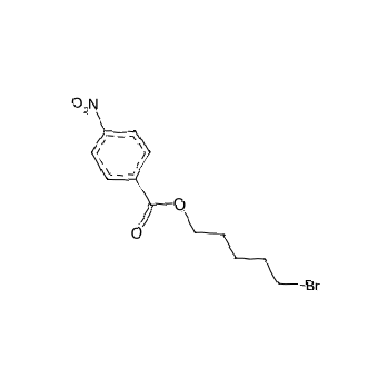 O=C(OCCCCCBr)c1ccc([N+](=O)[O-])cc1